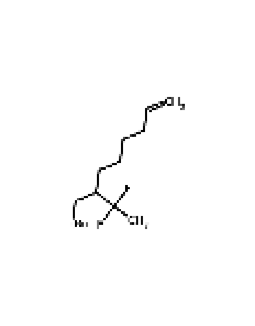 C=CCCCCC(CC(C)(C)C)C(C)(F)F